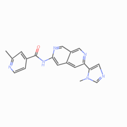 Cc1cc(C(=O)Nc2cc3cc(-c4cncn4C)ncc3cn2)ccn1